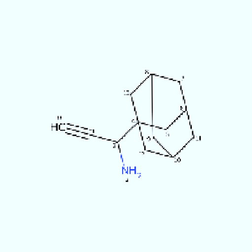 C#CC(N)C12CC3CC(CC(C3)C1)C2